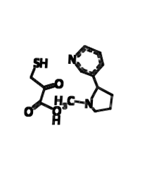 CN1CCCC1c1cccnc1.O=C(O)C(=O)CS